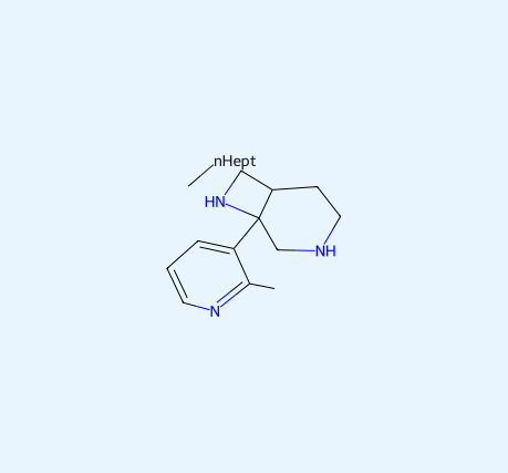 CCCCCCCC.Cc1ncccc1C12CNCCC1CN2